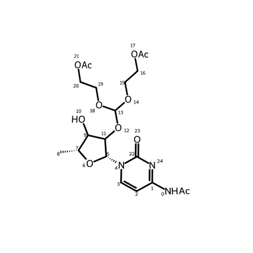 CC(=O)Nc1ccn([C@@H]2O[C@H](C)C(O)C2OC(OCCOC(C)=O)OCCOC(C)=O)c(=O)n1